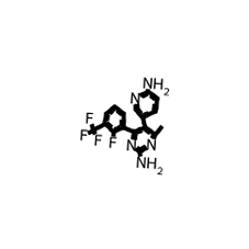 Cc1nc(N)nc(-c2cccc(C(F)(F)F)c2F)c1-c1ccc(N)nc1